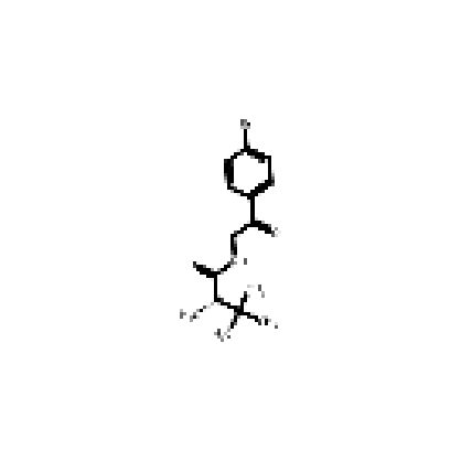 C[C@H](C(=O)NCC(=O)c1ccc(Br)cc1)C(C)(C)C